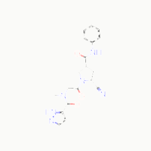 CN(CC(=O)N1CC(C(=O)Nc2ccccc2)CC1C#N)C(=O)c1ccn[nH]1